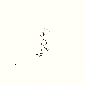 CCOC(=O)[C@H]1CC[C@H](c2csc(C)n2)CC1